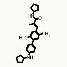 Cc1cc(-c2ccc(NC3CCCC3)cc2)c(C)cc1/C=C(\F)C(=O)NC1CCCC1